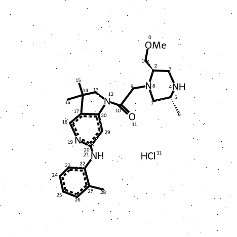 COC[C@H]1CN[C@H](C)CN1CC(=O)N1CC(C)(C)c2cnc(Nc3ccccc3C)cc21.Cl